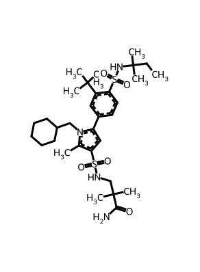 CCC(C)(C)NS(=O)(=O)c1ccc(-c2cc(S(=O)(=O)NCC(C)(C)C(N)=O)c(C)n2CC2CCCCC2)cc1C(C)(C)C